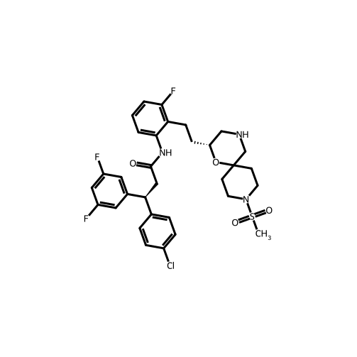 CS(=O)(=O)N1CCC2(CC1)CNC[C@@H](CCc1c(F)cccc1NC(=O)C[C@@H](c1ccc(Cl)cc1)c1cc(F)cc(F)c1)O2